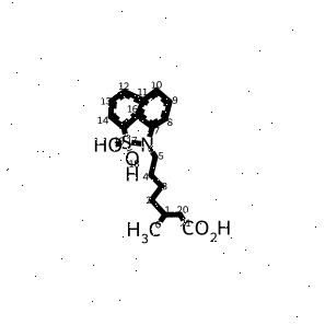 CC(CCCCN1c2cccc3cccc(c23)S1(O)O)CC(=O)O